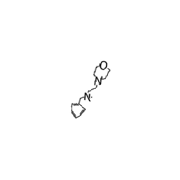 c1ccc(C[N]CCN2CCOCC2)cc1